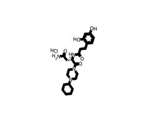 Cl.NC(=O)C[C@H](NC(=O)CCc1ccc(O)cc1O)C(=O)N1CCN(C2CCCCC2)CC1